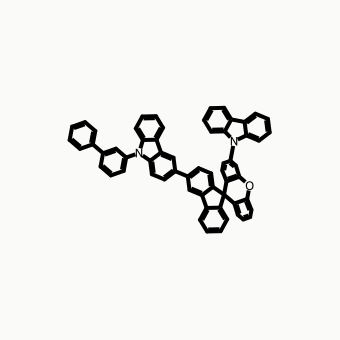 c1ccc(-c2cccc(-n3c4ccccc4c4cc(-c5ccc6c(c5)-c5ccccc5C65c6ccccc6Oc6cc(-n7c8ccccc8c8ccccc87)ccc65)ccc43)c2)cc1